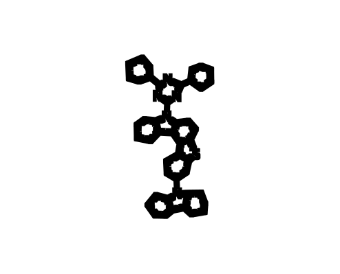 c1ccc(-c2nc(-c3ccccc3)nc(-n3c4ccccc4c4c5c(ccc43)sc3cc(-n4c6ccccc6c6ccccc64)ccc35)n2)cc1